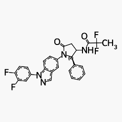 CC(F)(F)C(=O)NC1CC(=O)N(c2ccc3c(cnn3-c3ccc(F)c(F)c3)c2)[C@@H]1c1ccccc1